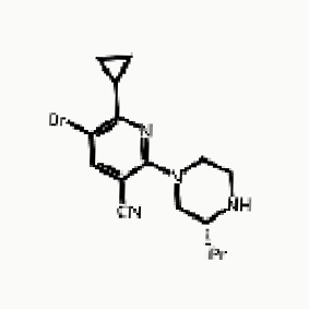 CC(C)[C@@H]1CN(c2nc(C3CC3)c(Br)cc2C#N)CCN1